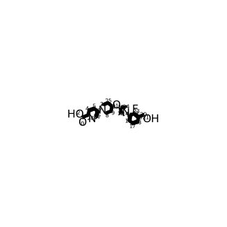 O=C(O)c1ccc(N2CCC(OC3CN(c4cccc(CO)c4F)C3)CC2)cn1